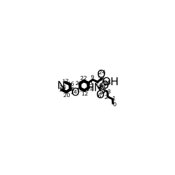 CCCCS(=O)(=O)NC(Cc1ccc(Oc2ccncc2)cc1)C(=O)O